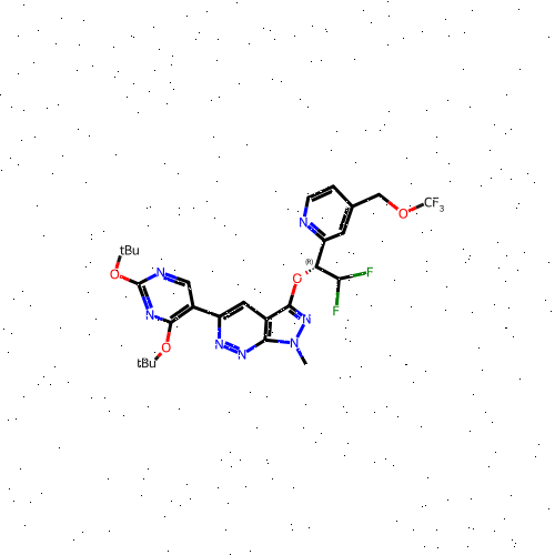 Cn1nc(O[C@H](c2cc(COC(F)(F)F)ccn2)C(F)F)c2cc(-c3cnc(OC(C)(C)C)nc3OC(C)(C)C)nnc21